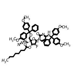 CCCCCCCC(=O)O[C@H]1[C@@H](F)[C@H](n2ccc(NC(c3ccccc3)(c3ccc(OC)cc3)c3ccc(OC)cc3)nc2=O)O[C@]1(CN=[N+]=[N-])COC(c1ccccc1)(c1ccc(OC)cc1)c1ccc(OC)cc1